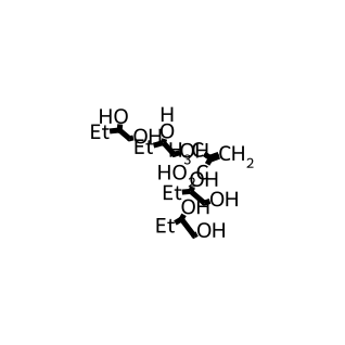 C=C(C)C(=O)O.CCC(O)CO.CCC(O)CO.CCC(O)CO.CCC(O)CO